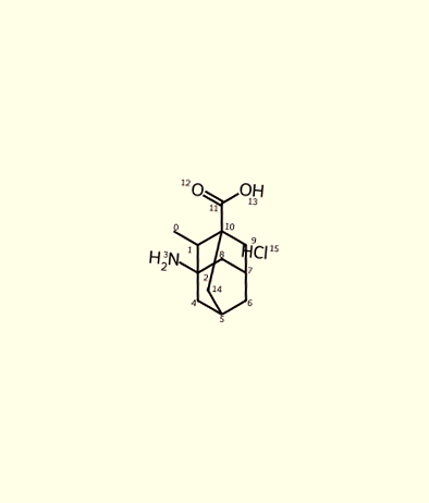 CC1C2(N)CC3CC(C2)CC1(C(=O)O)C3.Cl